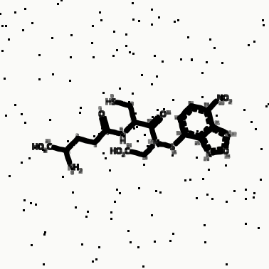 NC(CCC(=O)NC(CS)C(=O)N(CC(=O)O)Sc1ccc([N+](=O)[O-])c2nonc12)C(=O)O